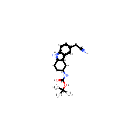 CC(C)(C)OC(=O)NC1CCc2[nH]c3ccc(CC#N)cc3c2C1